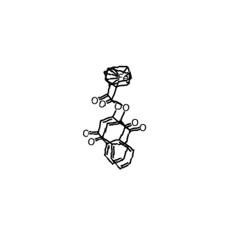 O=C1C=C(OC(=O)[C]23[CH]4[CH]5[CH]6[CH]2[Fe]56432789[CH]3[CH]2[CH]7[C]8(C(=O)OC2=CC(=O)c4ccccc4C2=O)[CH]39)C(=O)c2ccccc21